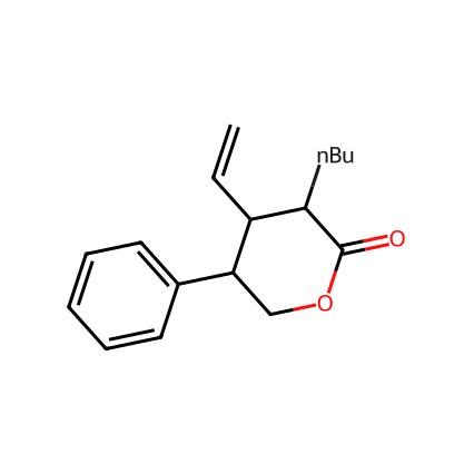 C=CC1C(CCCC)C(=O)OCC1c1ccccc1